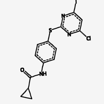 O=C(Nc1ccc(Sc2nc(Cl)cc(I)n2)cc1)C1CC1